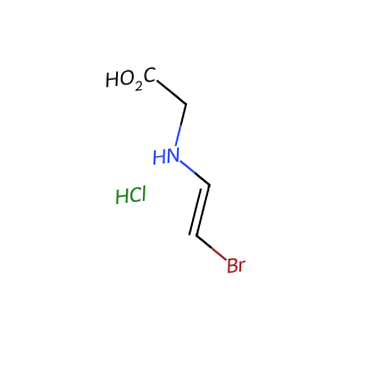 Cl.O=C(O)CNC=CBr